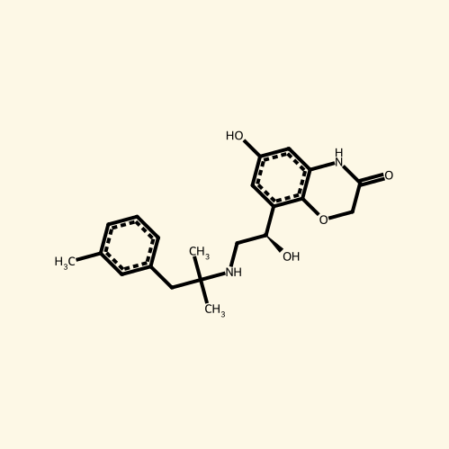 Cc1cccc(CC(C)(C)NC[C@H](O)c2cc(O)cc3c2OCC(=O)N3)c1